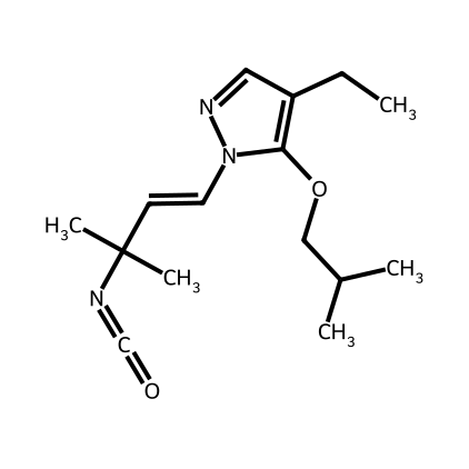 CCc1cnn(/C=C/C(C)(C)N=C=O)c1OCC(C)C